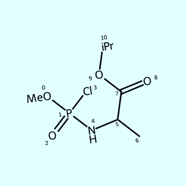 COP(=O)(Cl)NC(C)C(=O)OC(C)C